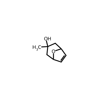 CC1(O)CC2C=CC(C1)O2